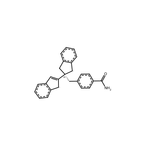 NC(=O)c1ccc(C[C@@]2(C3=Cc4ccccc4[CH]3)[CH]c3ccccc3C2)cc1